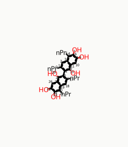 CCCc1cc2c(CCC)c(O)c(O)cc2c(O)c1-c1c(CCC)cc2c(CCC)c(O)c(O)cc2c1O